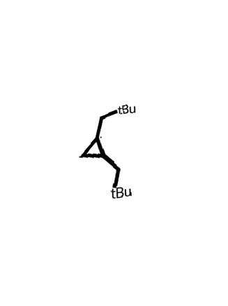 CC(C)(C)C[C]1CC1CC(C)(C)C